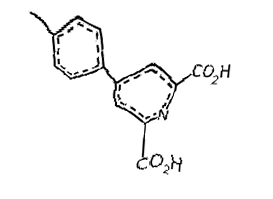 Cc1ccc(-c2cc(C(=O)O)nc(C(=O)O)c2)cc1